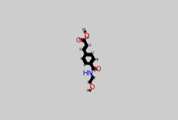 COCCNC(=O)c1ccc(C=CC(=O)OC)cc1